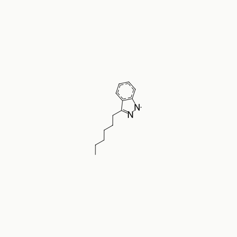 CCCCCCC1=N[N]c2ccccc21